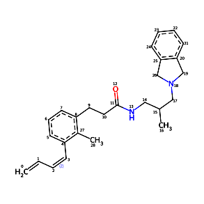 C=C/C=C\c1cccc(CCC(=O)NCC(C)CN2Cc3ccccc3C2)c1C